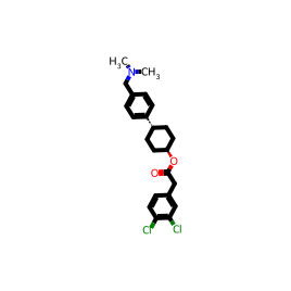 CN(C)Cc1ccc([C@H]2CC[C@H](OC(=O)Cc3ccc(Cl)c(Cl)c3)CC2)cc1